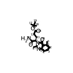 Cc1cccc2nc(C)n([C@H](CCC(=O)OC(C)(C)C)C(N)=O)c(=O)c12